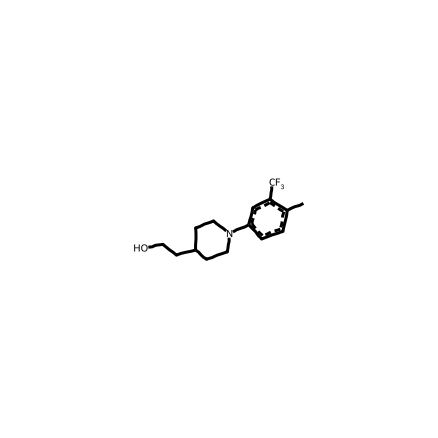 Cc1ccc(N2CCC(CCO)CC2)cc1C(F)(F)F